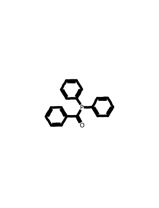 O=C(c1ccccc1)P(c1ccccc1)c1ccccc1